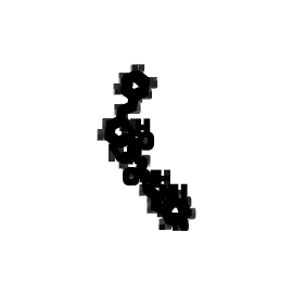 O=C(Cn1cnc2c(c1=O)NC(CCc1ccccc1)CC2)NCc1cc2cnccc2[nH]1